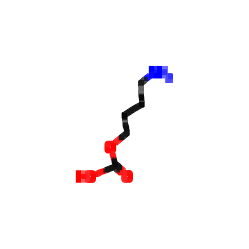 NCCCCOC(=O)O